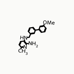 COc1cccc(-c2cccc(CNc3ccc(C)nc3N)c2)c1